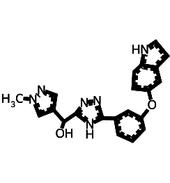 Cn1cc(C(O)c2nnc(-c3cccc(Oc4ccc5[nH]ccc5c4)c3)[nH]2)cn1